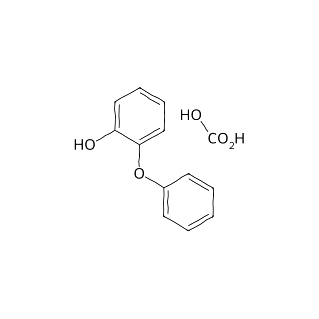 O=C(O)O.Oc1ccccc1Oc1ccccc1